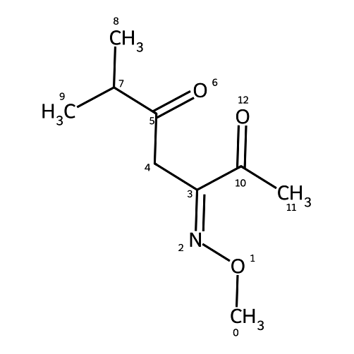 CO/N=C(/CC(=O)C(C)C)C(C)=O